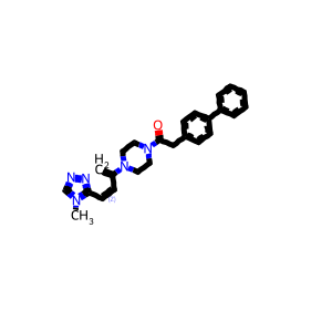 C=C(/C=C\c1nncn1C)N1CCN(C(=O)Cc2ccc(-c3ccccc3)cc2)CC1